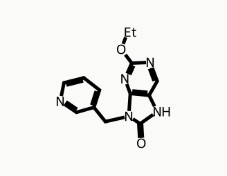 CCOc1ncc2[nH]c(=O)n(Cc3cccnc3)c2n1